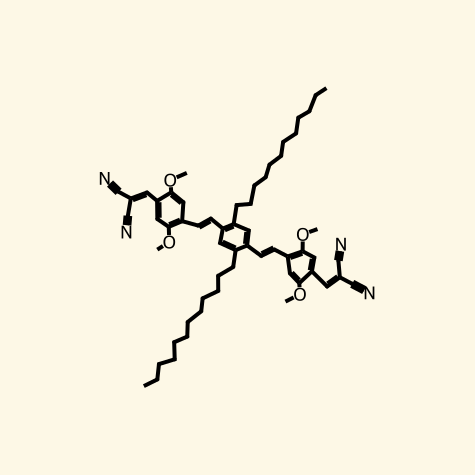 CCCCCCCCCCCCc1cc(C=Cc2cc(OC)c(C=C(C#N)C#N)cc2OC)c(CCCCCCCCCCCC)cc1C=Cc1cc(OC)c(C=C(C#N)C#N)cc1OC